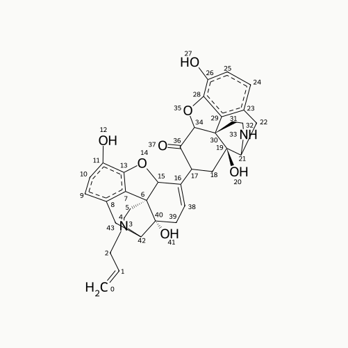 C=CCN1CC[C@]23c4c5ccc(O)c4OC2C(C2C[C@@]4(O)C6Cc7ccc(O)c8c7[C@@]4(CCN6)C(O8)C2=O)=CC[C@@]3(O)C1C5